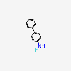 FNc1ccc(-c2ccccc2)cc1